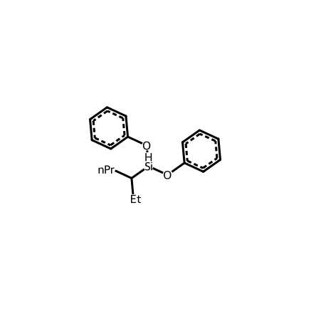 CCCC(CC)[SiH](Oc1ccccc1)Oc1ccccc1